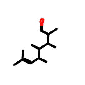 CC(C)=CC(C)C(C)C(C)C(C)C=O